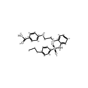 CCCc1ccc(S(=O)(=O)Nc2ccccc2OCCOc2ccc(C(=O)O)cc2)cc1